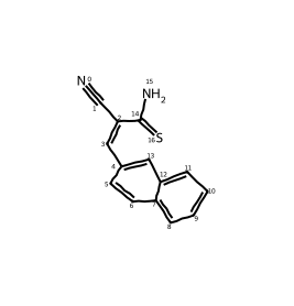 N#CC(=Cc1ccc2ccccc2c1)C(N)=S